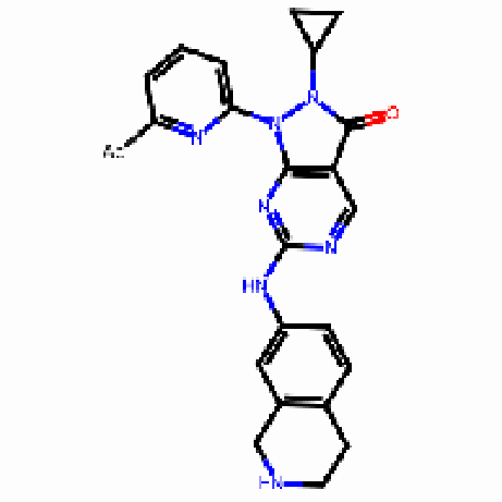 CC(=O)c1cccc(-n2c3nc(Nc4ccc5c(c4)CNCC5)ncc3c(=O)n2C2CC2)n1